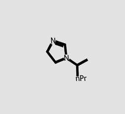 CCCC(C)N1C=NCC1